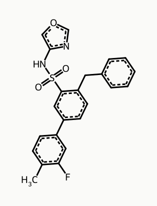 Cc1ccc(-c2ccc(Cc3ccccc3)c(S(=O)(=O)Nc3cocn3)c2)cc1F